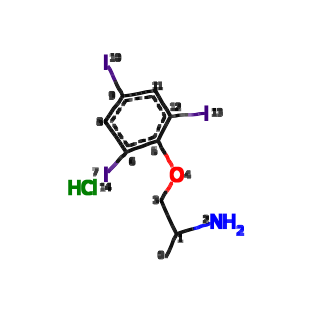 CC(N)COc1c(I)cc(I)cc1I.Cl